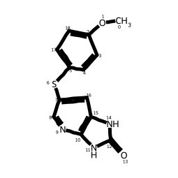 COc1ccc(Sc2cnc3[nH]c(=O)[nH]c3c2)cc1